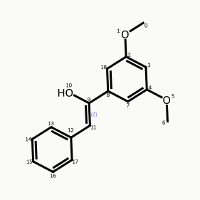 COc1cc(OC)cc(/C(O)=C/c2ccccc2)c1